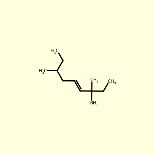 BC(C)(/C=C/CC(C)CC)CC